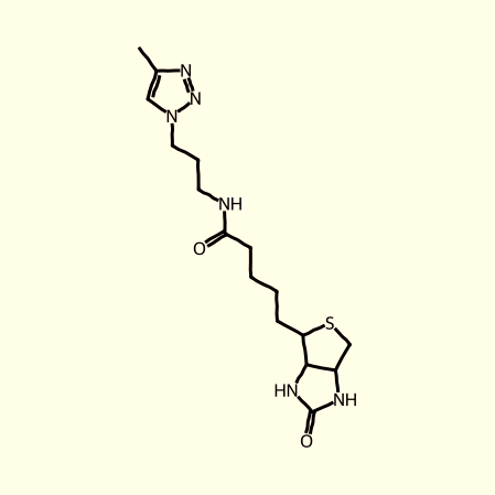 Cc1cn(CCCNC(=O)CCCCC2SCC3NC(=O)NC32)nn1